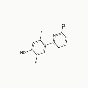 Oc1cc(F)c(-c2cccc(Cl)n2)cc1F